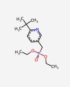 CCOP(=O)(Cc1ccc(C(C)(C)C)nc1)OCC